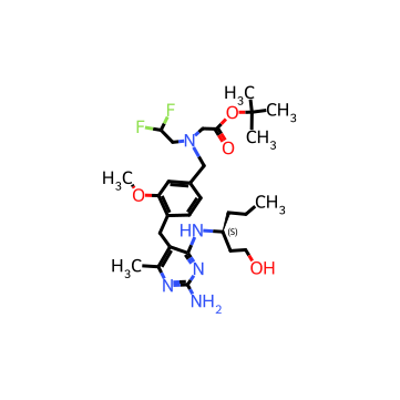 CCC[C@@H](CCO)Nc1nc(N)nc(C)c1Cc1ccc(CN(CC(=O)OC(C)(C)C)CC(F)F)cc1OC